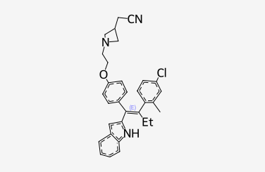 CC/C(=C(/c1ccc(OCCN2CC(CC#N)C2)cc1)c1cc2ccccc2[nH]1)c1ccc(Cl)cc1C